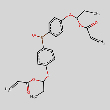 C=CC(=O)OC(CC)Oc1ccc([S+]([O-])c2ccc(OC(CC)OC(=O)C=C)cc2)cc1